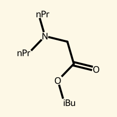 CCCN(CCC)CC(=O)OC(C)CC